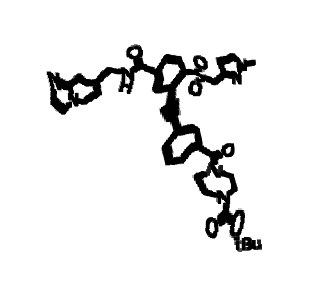 Cn1ccc(CS(=O)(=O)c2ccc(C(=O)NCc3ccn4ccnc4c3)cc2C#Cc2cccc(C(=O)N3CCN(C(=O)OC(C)(C)C)CC3)c2)n1